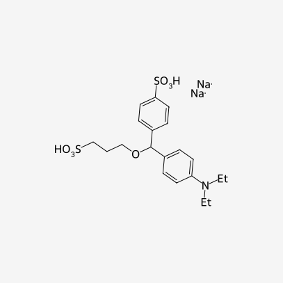 CCN(CC)c1ccc(C(OCCCS(=O)(=O)O)c2ccc(S(=O)(=O)O)cc2)cc1.[Na].[Na]